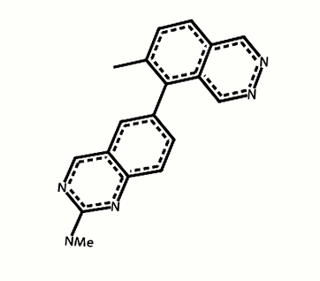 CNc1ncc2cc(-c3c(C)ccc4cnncc34)ccc2n1